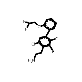 NCCc1c(Cl)cc(-c2ccccc2OCC(F)F)c(Cl)c1F